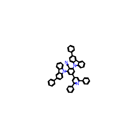 N#Cc1c(-n2c3ccccc3c3cc(-c4ccccc4)ccc32)cc(-c2cc(-c3ccccc3)nc(-c3ccccc3)c2)cc1-n1c2ccccc2c2cc(-c3ccccc3)ccc21